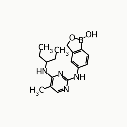 CCC(CC)Nc1nc(Nc2ccc3c(c2)COB3O)ncc1C